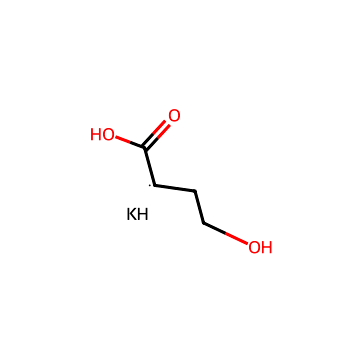 O=C(O)[CH]CCO.[KH]